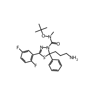 CN(OC(C)(C)C)C(=O)N1N=C(c2cc(F)ccc2F)SC1(CCCN)c1ccccc1